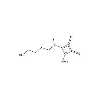 CNc1c(N(C)CCCCC(C)(C)C)c(=O)c1=S